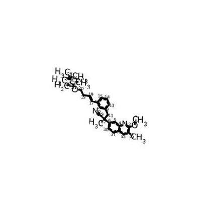 COc1nc2cc(C(C)(C#N)Cc3cccc(/C=C/CCO[Si](C)(C)C(C)(C)C)c3)ccc2cc1C